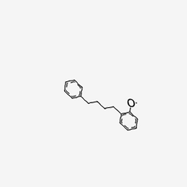 [O]c1ccccc1CCCCc1ccccc1